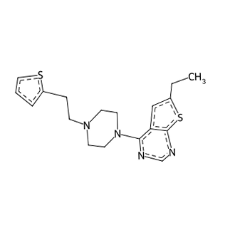 CCc1cc2c(N3CCN(CCc4cccs4)CC3)ncnc2s1